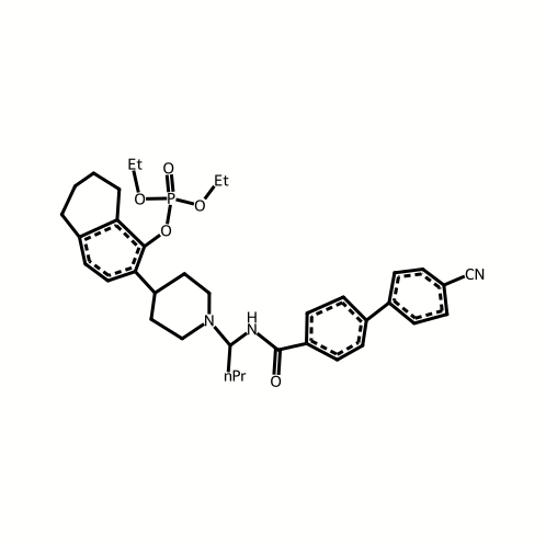 CCCC(NC(=O)c1ccc(-c2ccc(C#N)cc2)cc1)N1CCC(c2ccc3c(c2OP(=O)(OCC)OCC)CCCC3)CC1